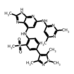 Cc1cc(Nc2cc(Nc3ccc(-c4c(C)nn(C)c4C)cc3S(C)(=O)=O)c3nc(C)[nH]c3n2)nc(C)n1